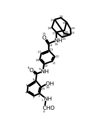 O=CNc1cccc(C(=O)Nc2ccc(C(=O)NC34CC5CC(CC(C5)C3)C4)cc2)c1O